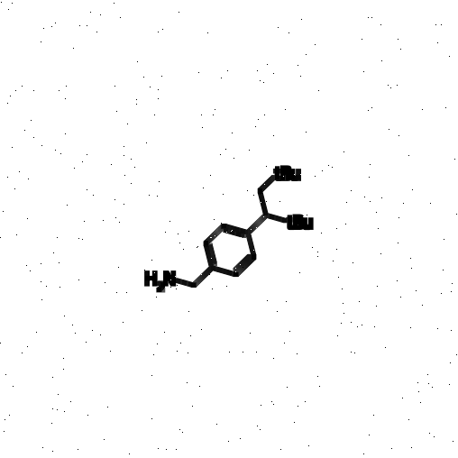 CC(C)(C)CC(c1ccc(CN)cc1)C(C)(C)C